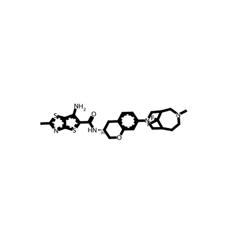 Cc1nc2sc(C(=O)N[C@H]3COc4cc(N5CC6CCN(C)CC(C5)C6(F)F)ccc4C3)c(N)c2s1